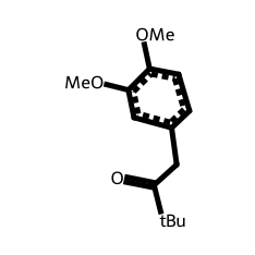 COc1ccc(CC(=O)C(C)(C)C)cc1OC